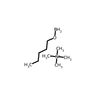 BOCCCCC.C[N+](C)(C)C